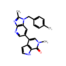 Cc1nc2ncc(-c3cn(C)c(=O)c4[nH]ccc34)cc2n1Cc1ccc(C(F)(F)F)cc1